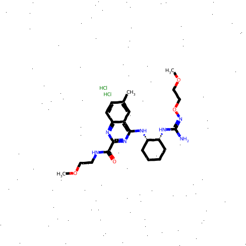 COCCNC(=O)c1nc(N[C@H]2CCCC[C@H]2N/C(N)=N\OCCOC)c2cc(C)ccc2n1.Cl.Cl